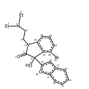 CCN(CC)CCN1C(=O)C(O)(c2cc3ccccc3o2)c2c(Br)cccc21